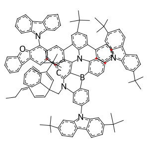 C=C/C(=C\C(/C=C\C=C/CC)(CN1c2cc(-n3c4cc(C(C)(C)C)ccc4c4ccc(C(C)(C)C)cc43)ccc2B2c3ccc(-n4c5cc(C(C)(C)C)ccc5c5ccc(C(C)(C)C)cc54)cc3N(c3c(-c4ccccc4)cc(C(C)(C)C)cc3-c3ccccc3)c3cc(-c4cc(-n5c6ccccc6c6ccccc65)c5oc6ccccc6c5c4)cc1c32)c1ccccc1)C(C)(C)C